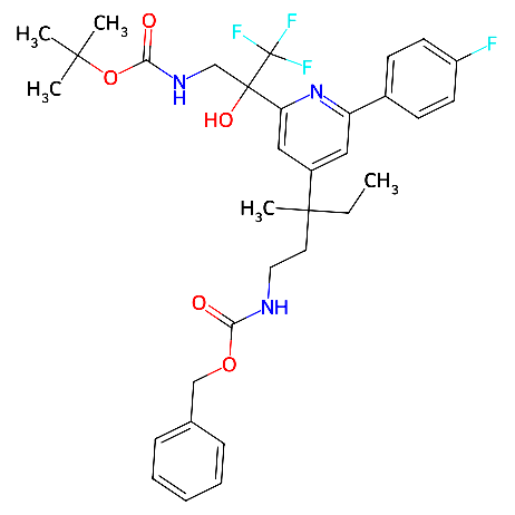 CCC(C)(CCNC(=O)OCc1ccccc1)c1cc(-c2ccc(F)cc2)nc(C(O)(CNC(=O)OC(C)(C)C)C(F)(F)F)c1